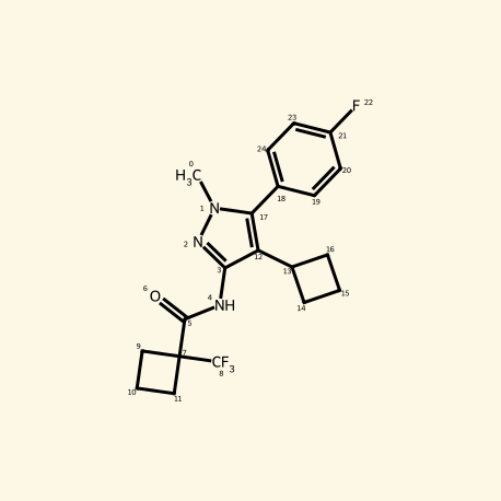 Cn1nc(NC(=O)C2(C(F)(F)F)CCC2)c(C2CCC2)c1-c1ccc(F)cc1